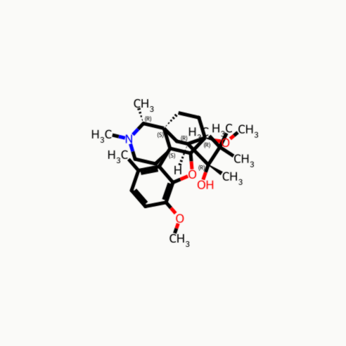 COc1ccc(C)c2c1OC1[C@@]3(OC)CC[C@@]4(C[C@@H]3[C@@](C)(O)C(C)(C)C)[C@@H](C)N(C)CC[C@]214